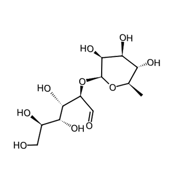 C[C@H]1O[C@@H](O[C@@H](C=O)[C@@H](O)[C@H](O)[C@H](O)CO)[C@@H](O)[C@@H](O)[C@@H]1O